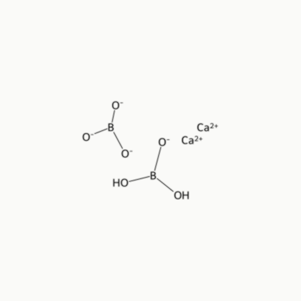 [Ca+2].[Ca+2].[O-]B(O)O.[O-]B([O-])[O-]